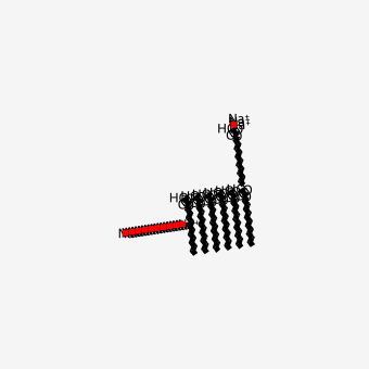 CCCCCCCCCCCCOS(=O)(=O)O.CCCCCCCCCCCCOS(=O)(=O)O.CCCCCCCCCCCCOS(=O)(=O)O.CCCCCCCCCCCCOS(=O)(=O)O.CCCCCCCCCCCCOS(=O)(=O)O.CCCCCCCCCCCCOS(=O)(=O)O.CCCCCCCCCCCCOS(=O)(=O)O.[Na+].[Na+].[Na+].[Na+].[Na+].[Na+].[Na+].[Na+].[Na+].[Na+].[Na+].[Na+].[Na+].[Na+].[Na+].[Na+].[Na+].[Na+].[Na+].[Na+].[Na+].[Na+].[Na+]